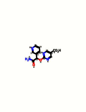 NC(=O)C(Oc1ncc(C(=O)O)cn1)c1cccnc1